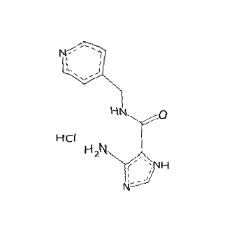 Cl.Nc1nc[nH]c1C(=O)NCc1ccncc1